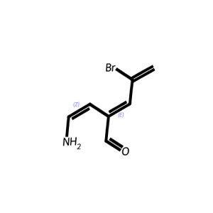 C=C(Br)/C=C(C=O)\C=C/N